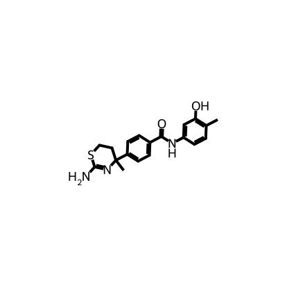 Cc1ccc(NC(=O)c2ccc(C3(C)CCSC(N)=N3)cc2)cc1O